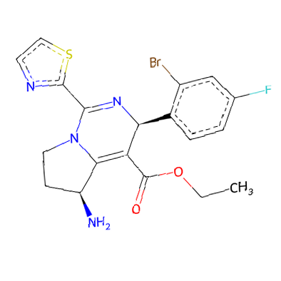 CCOC(=O)C1=C2[C@@H](N)CCN2C(c2nccs2)=N[C@H]1c1ccc(F)cc1Br